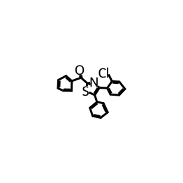 O=C(c1ccccc1)c1nc(-c2ccccc2Cl)c(-c2ccccc2)s1